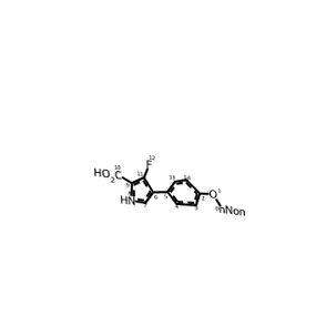 CCCCCCCCCOc1ccc(-c2c[nH]c(C(=O)O)c2F)cc1